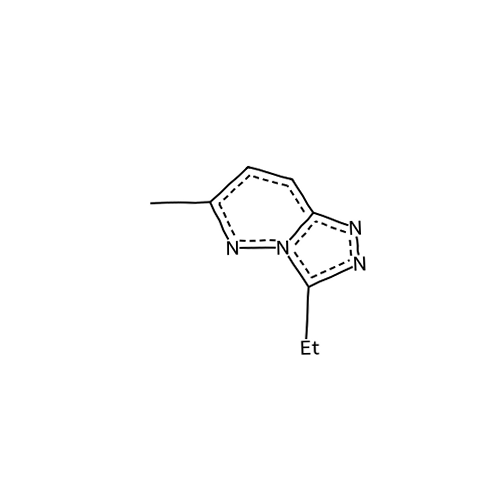 CCc1nnc2ccc(C)nn12